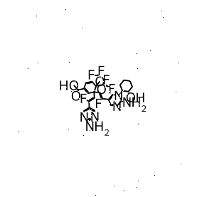 Nc1ncc(/C(F)=C/C2(/C=C(\F)C3=CN([C@H]4CCCC[C@@H]4O)C(N)N=C3)C=C(C(=O)O)C=CC2(OC(F)F)OC(F)F)cn1